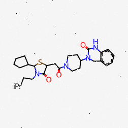 CC(C)CCN1C(=O)C(CC(=O)N2CCC(N3Cc4ccccc4NC3=O)CC2)SC1C1CCCC1